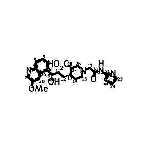 COc1cnc2cccc([C@@H](O)CC[C@@H]3CCN(CC(=O)Nc4nccs4)C[C@@H]3C(=O)O)c2c1